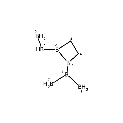 BBB1CCB1B(B)B